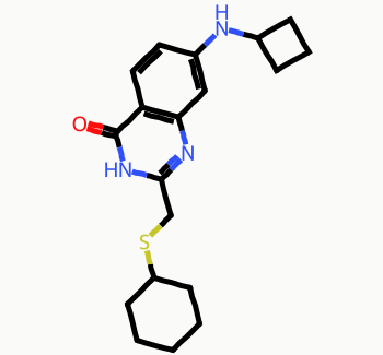 O=c1[nH]c(CSC2CCCCC2)nc2cc(NC3CCC3)ccc12